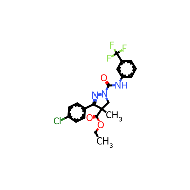 CCOC(=O)C1(C)CN(C(=O)Nc2cccc(C(F)(F)F)c2)N=C1c1ccc(Cl)cc1